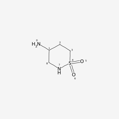 NC1CCS(=O)(=O)NC1